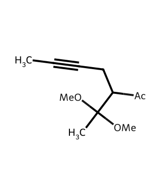 CC#CCC(C(C)=O)C(C)(OC)OC